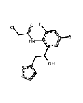 O=C(CCl)Nc1c(F)cc(Br)cc1C(O)Cc1cccs1